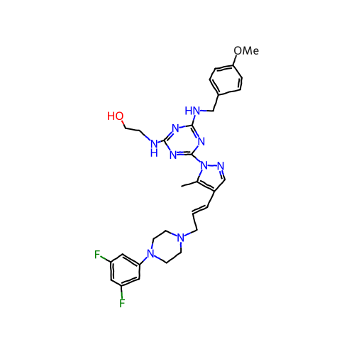 COc1ccc(CNc2nc(NCCO)nc(-n3ncc(C=CCN4CCN(c5cc(F)cc(F)c5)CC4)c3C)n2)cc1